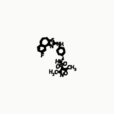 Cc1noc(C)c1S(=O)(=O)NC[C@H]1CC[C@H](Nc2nc3c(s2)CCCc2ccc(F)cc2-3)CC1